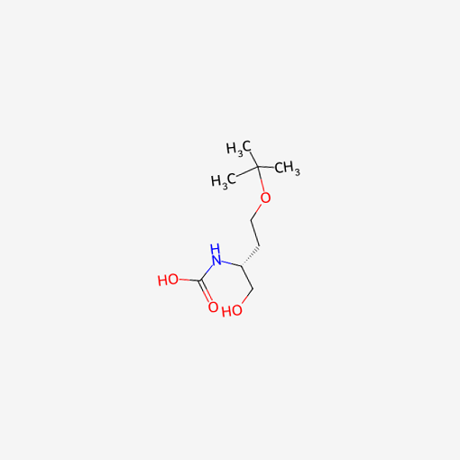 CC(C)(C)OCC[C@H](CO)NC(=O)O